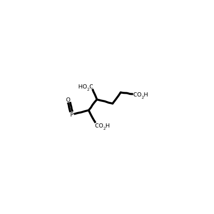 O=PC(C(=O)O)C(CCC(=O)O)C(=O)O